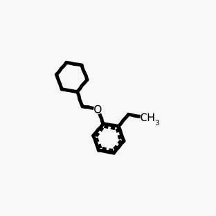 CCc1ccccc1OCC1CCCCC1